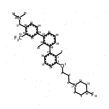 Cc1c(OCCCN2CCC(F)CC2)cccc1-c1cccc(-c2ccc(CN(C)C)c(C(F)(F)F)c2)c1C